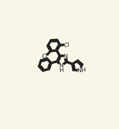 Clc1cccc(Cl)c1-c1nc(-c2cc[nH]c2)[nH]c1-c1ccccc1